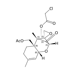 CC(=O)OC[C@]12CCC(C)=C[C@H]1O[C@@H]1C(=O)[C@@H](OC(=O)CCl)[C@@]2(C)[C@]12CO2